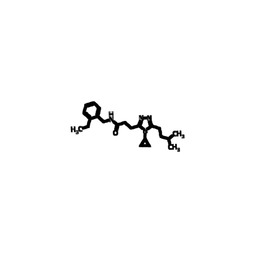 CCc1ccccc1CNC(=O)CCc1nnc(CCC(C)C)n1C1CC1